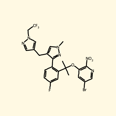 Cn1cc(Cc2cnn(CC(F)(F)F)c2)c(-c2ccc(F)cc2C(C)(C)Oc2cc(Br)cnc2[N+](=O)[O-])n1